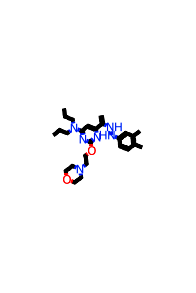 C=C(NNc1ccc(C)c(C)c1)c1cc(N(CCC)CCC)nc(OCCN2CCOCC2)n1